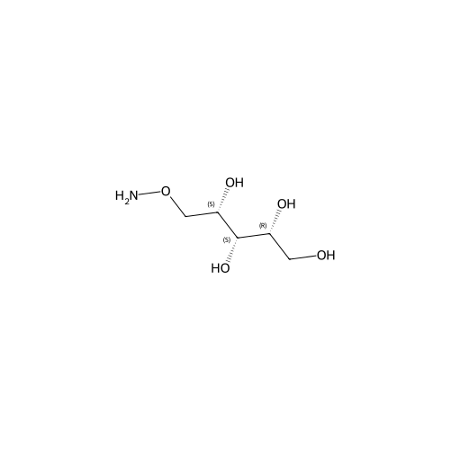 NOC[C@H](O)[C@@H](O)[C@H](O)CO